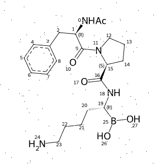 CC(=O)N[C@H](Cc1ccccc1)C(=O)N1CCC[C@H]1C(=O)N[C@@H](CCCCN)B(O)O